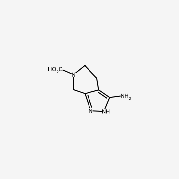 Nc1[nH]nc2c1CCN(C(=O)O)C2